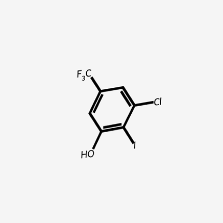 Oc1cc(C(F)(F)F)cc(Cl)c1I